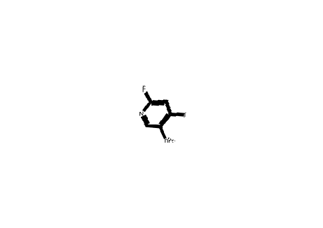 CC[CH]c1cnc(F)cc1I